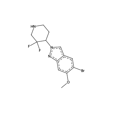 COc1cc2nn(C3CCNCC3(F)F)cc2cc1Br